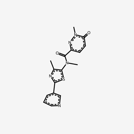 Cc1nc(-c2cccnc2)sc1N(C)C(=O)c1ccc(=O)n(C)n1